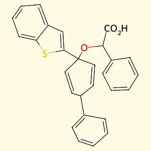 O=C(O)C(OC1(c2cc3ccccc3s2)C=CC(c2ccccc2)C=C1)c1ccccc1